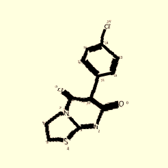 O=C1N=C2SCCN2C(=O)C1c1ccc(Cl)cc1